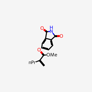 C=C(CCC)C(=O)OC.O=C1NC(=O)c2ccccc21